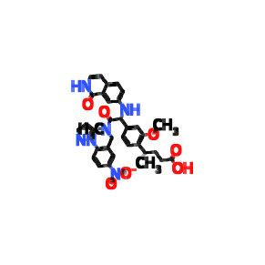 COc1cc(C(Nc2ccc3cc[nH]c(=O)c3c2)C(=O)N(C)Cc2cc([N+](=O)[O-])ccc2-n2cccn2)ccc1[C@@H](C)CCC(=O)O